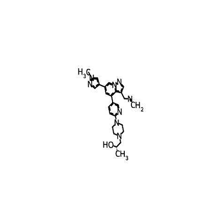 C=NCc1cnn2cc(-c3cnn(C)c3)cc(-c3ccc(N4CCN(C[C@H](C)O)CC4)nc3)c12